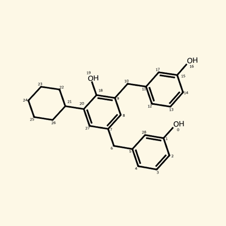 Oc1cccc(Cc2cc(Cc3cccc(O)c3)c(O)c(C3CCCCC3)c2)c1